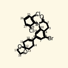 O=C1CCc2c(Br)cc(C3=CCC4(CC3)OCCO4)cc2N1c1c(Cl)cccc1Cl